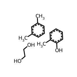 Cc1cccc(C)c1.Cc1ccccc1O.OCCO